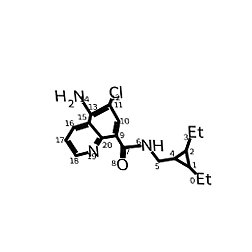 CCC1C(CC)C1CNC(=O)c1cc(Cl)c(N)c2cccnc12